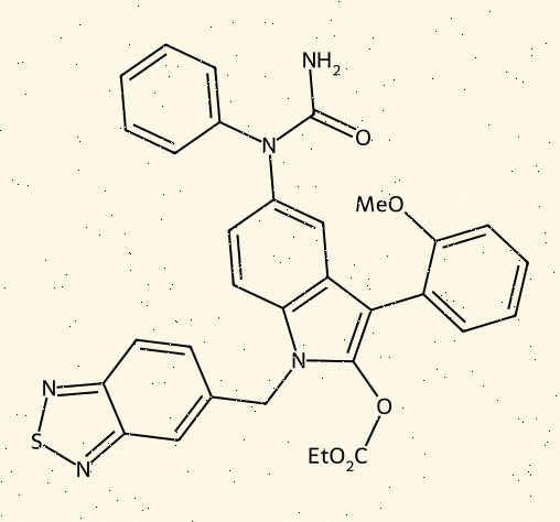 CCOC(=O)Oc1c(-c2ccccc2OC)c2cc(N(C(N)=O)c3ccccc3)ccc2n1Cc1ccc2nsnc2c1